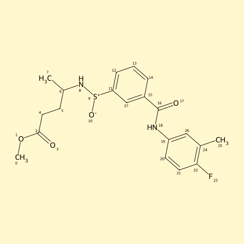 COC(=O)CCC(C)N[S+]([O-])c1cccc(C(=O)Nc2ccc(F)c(C)c2)c1